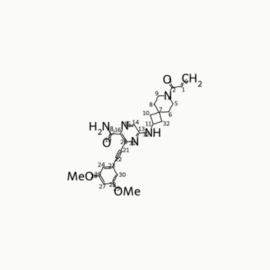 C=CC(=O)N1CCC2(CC1)CC(Nc1cnc(C(N)=O)c(C#Cc3cc(OC)cc(OC)c3)n1)C2